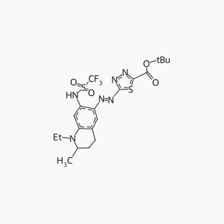 CCN1c2cc(NS(=O)(=O)C(F)(F)F)c(N=Nc3nnc(C(=O)OC(C)(C)C)s3)cc2CCC1C